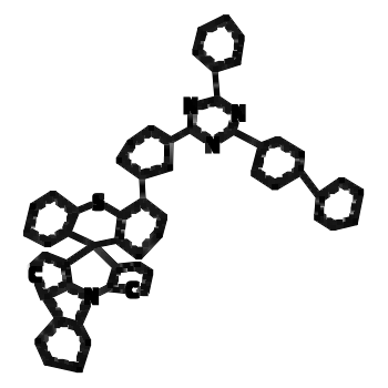 c1ccc(-c2ccc(-c3nc(-c4ccccc4)nc(-c4cccc(-c5cccc6c5Sc5ccccc5C65c6ccccc6-n6c7ccccc7c7cccc5c76)c4)n3)cc2)cc1